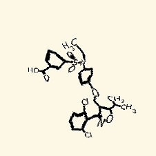 CCN(c1ccc(OCc2c(-c3c(Cl)cccc3Cl)noc2C(C)C)cc1)S(=O)(=O)c1cccc(C(=O)O)c1